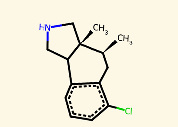 C[C@H]1Cc2c(Cl)cccc2C2CNC[C@@]21C